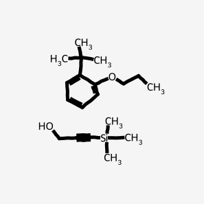 CCCOc1ccccc1C(C)(C)C.C[Si](C)(C)C#CCO